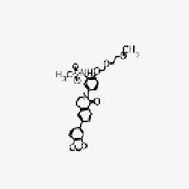 COCCOCOc1ccc(N2CCc3cc(-c4ccc5c(c4)OCO5)ccc3C2=O)cc1NS(C)(=O)=O